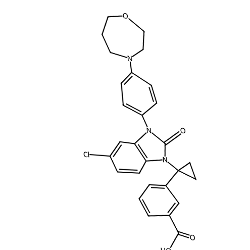 O=C(O)c1cccc(C2(n3c(=O)n(-c4ccc(N5CCCOCC5)cc4)c4cc(Cl)ccc43)CC2)c1